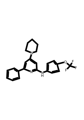 FC(F)(F)Oc1ccc(Nc2cc(N3CCCCC3)cc(-c3ccccc3)n2)cc1